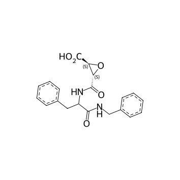 O=C(NCc1ccccc1)C(Cc1ccccc1)NC(=O)[C@H]1O[C@@H]1C(=O)O